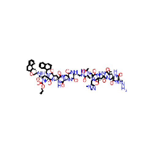 C=CCOC(=O)N1C[C@@]2(C[C@H]1C(=O)N[C@H](C=O)Cc1cccc3ccccc13)C(=O)N1C[C@]3(CC1C(=O)N2Cc1cccc2ccccc12)NC(=O)C1C[C@@]2(CN1C3=O)NC(=O)[C@@H](CCNC(=O)[C@@H]1C[C@]3(CN1C(C)=O)C(=O)N1C[C@]4(C[C@H]1C(=O)N3Cc1cncn1C)NC(=O)[C@@H]1C[C@@]3(CN1C4=O)NC(=O)[C@H](CN)NC3=O)NC2=O